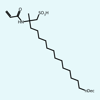 C=CC(=O)NC(C)(CCCCCCCCCCCCCCCCCCCCCCC)CS(=O)(=O)O